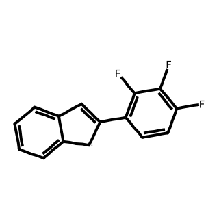 Fc1ccc(C2=Cc3ccccc3[CH]2)c(F)c1F